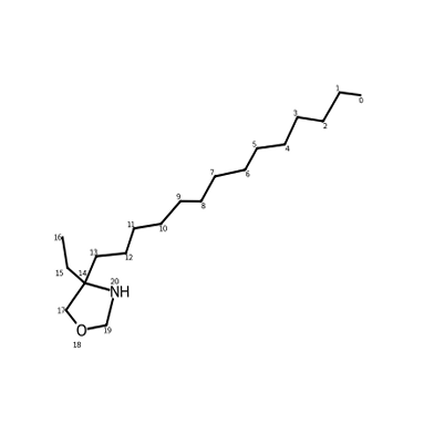 CCCCCCCCCCCCCCC1(CC)COCN1